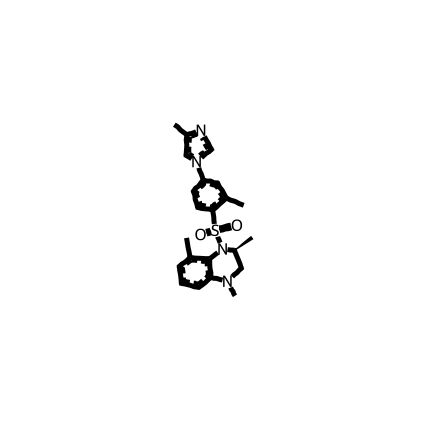 Cc1cn(-c2ccc(S(=O)(=O)N3c4c(C)cccc4N(C)C[C@@H]3C)c(C)c2)cn1